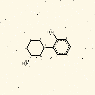 Nc1[c]cccc1N1CCC[C@@H](N)C1